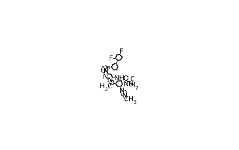 C=CC(=O)Nc1cc(Nc2cc(N3OCC[C@@H]3c3cccc(-c4ccc(F)cc4F)c3)ncn2)c(OC)cc1N1CCN(C)CC1